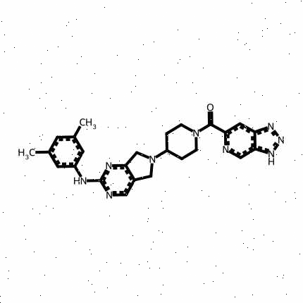 Cc1cc(C)cc(Nc2ncc3c(n2)CN(C2CCN(C(=O)c4cc5nn[nH]c5cn4)CC2)C3)c1